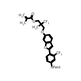 C=C(C)C(=O)OCC(C)(COc1ccc2cc(-c3ccc(CCCCC)cc3C(F)(F)F)oc2c1)C(F)(F)F